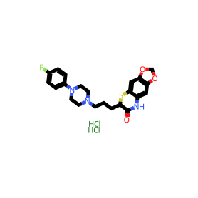 Cl.Cl.O=C1Nc2cc3c(cc2SC1CCCN1CCN(c2ccc(F)cc2)CC1)OCO3